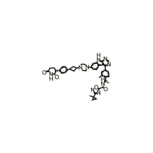 Cc1cc(-c2ncnc3[nH]c4cc(N5CCN(C6CC(c7ccc([C@@H]8CCC(=O)NC8=O)cc7)C6)CC5)ccc4c23)ccc1[C@@H](C)NC(=O)c1nc(C2(C)CC2)no1